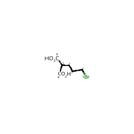 O=C(O)C(CCCBr)C(=O)O